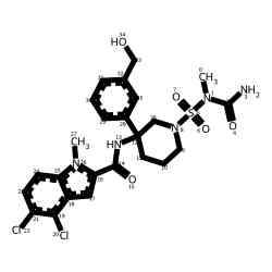 CN(C(N)=O)S(=O)(=O)N1CCCC(NC(=O)c2cc3c(Cl)c(Cl)ccc3n2C)(c2cccc(CO)c2)C1